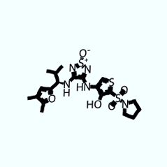 Cc1cc([C@H](Nc2n[s+]([O-])nc2Nc2csc(S(=O)(=O)N3CCCC3)c2O)C(C)C)oc1C